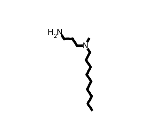 CCCCCCCCCN(C)CCCN